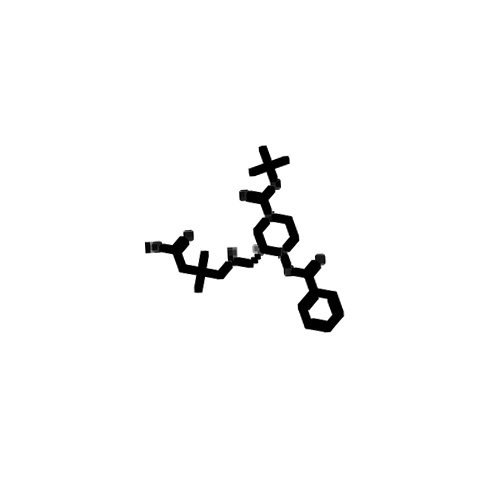 CC(C)(CNC[C@@H]1CN(C(=O)OC(C)(C)C)CCN1OC(=O)c1ccccc1)CC(=O)O